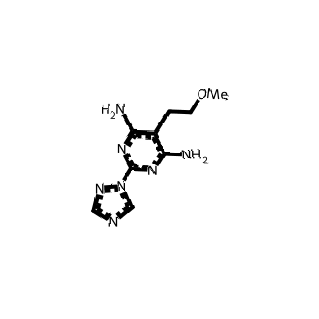 COCCc1c(N)nc(-n2cncn2)nc1N